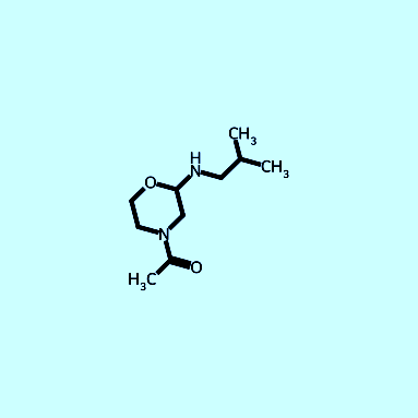 CC(=O)N1CCOC(NCC(C)C)C1